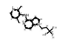 Cc1ccnc(C)c1Nc1nccc2c1ccn2CCC(F)(F)F